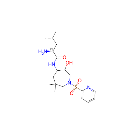 CC(C)C[C@H](N)C(=O)NC1CC(C)(C)CN(S(=O)(=O)c2ccccn2)CC1O